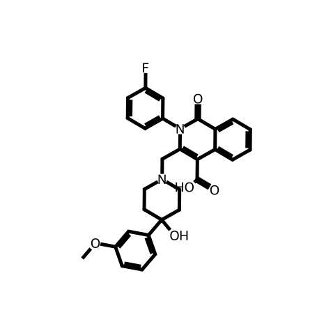 COc1cccc(C2(O)CCN(Cc3c(C(=O)O)c4ccccc4c(=O)n3-c3cccc(F)c3)CC2)c1